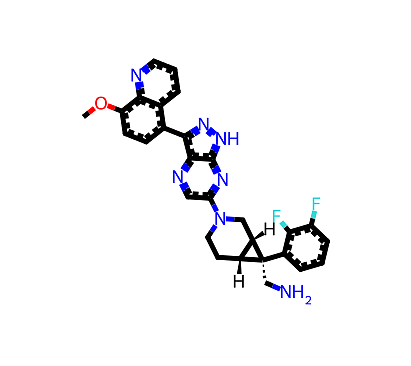 COc1ccc(-c2n[nH]c3nc(N4CC[C@@H]5[C@H](C4)[C@@]5(CN)c4cccc(F)c4F)cnc23)c2cccnc12